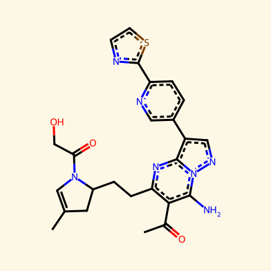 CC(=O)c1c(CCC2CC(C)=CN2C(=O)CO)nc2c(-c3ccc(-c4nccs4)nc3)cnn2c1N